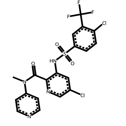 CN(C(=O)c1ncc(Cl)cc1NS(=O)(=O)c1ccc(Cl)c(C(F)(F)F)c1)c1ccncc1